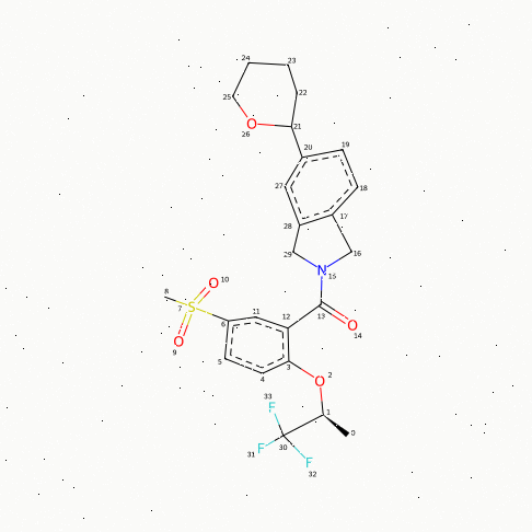 C[C@H](Oc1ccc(S(C)(=O)=O)cc1C(=O)N1Cc2ccc(C3CCCCO3)cc2C1)C(F)(F)F